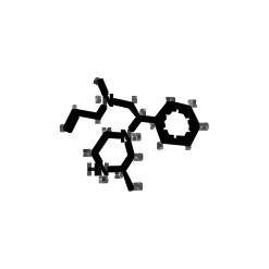 C=CCN(C)C[C@@H](c1ccccc1)N1CCN[C@H](C)C1